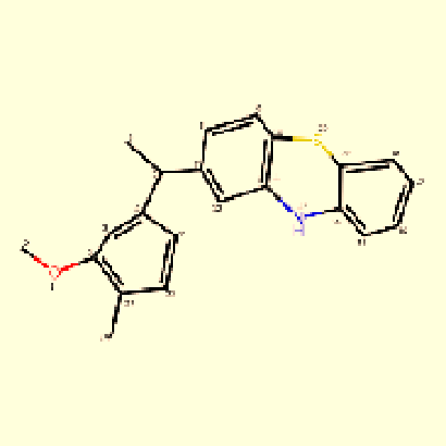 COc1cc(C(C)c2ccc3c(c2)Nc2ccccc2S3)ccc1C